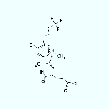 CC(C)C1=CN(CCC(=O)O)C(=O)N[C@]1(C)c1ccc(CCCC(F)(F)F)c(Cl)c1